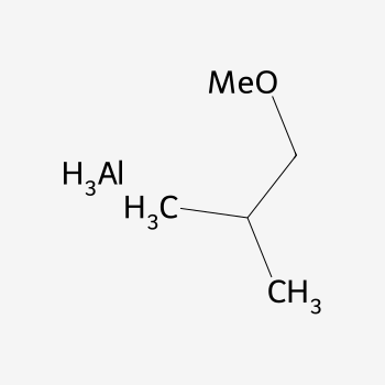 COCC(C)C.[AlH3]